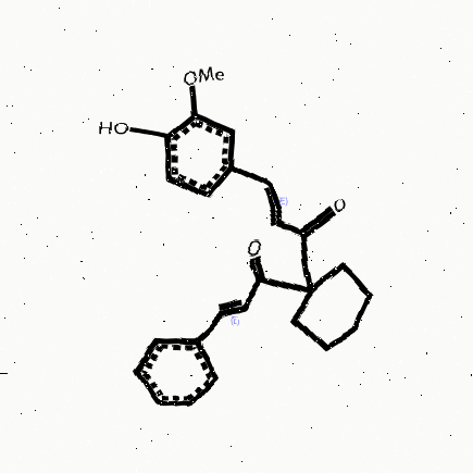 COc1cc(/C=C/C(=O)C2(C(=O)/C=C/c3ccccc3)CCCCC2)ccc1O